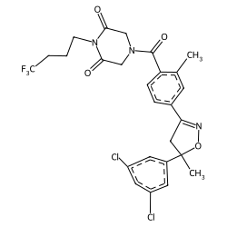 Cc1cc(C2=NOC(C)(c3cc(Cl)cc(Cl)c3)C2)ccc1C(=O)N1CC(=O)N(CCCC(F)(F)F)C(=O)C1